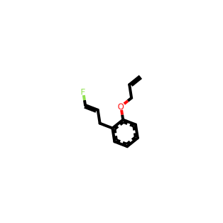 C=CCOc1ccccc1CC=CF